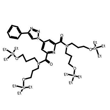 CC[Si](CC)(CC)OCCCN(CCCO[Si](CC)(CC)CC)C(=O)c1cc(-n2cc(-c3ccccc3)nn2)cc(C(=O)N(CCCO[Si](CC)(CC)CC)CCCO[Si](CC)(CC)CC)n1